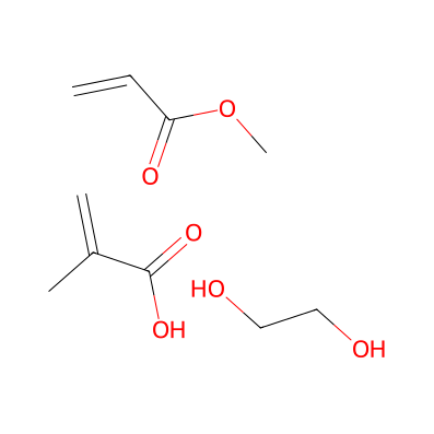 C=C(C)C(=O)O.C=CC(=O)OC.OCCO